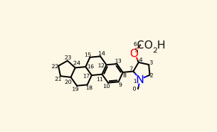 CN1CCC(OC(=O)O)C1c1ccc2c(c1)CCC1C2CCC2CCCC21